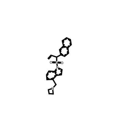 C=CC(c1ccc2ccccc2c1)S(=O)(=O)n1ccc2c(CN3CCC3)cccc21